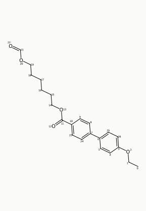 CCOc1ccc(-c2ccc(C(=O)OCCCCCCOC=O)cc2)cc1